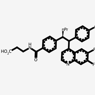 CCC[C@H](c1ccc(C(=O)NCCC(=O)O)cc1)C(c1ccc(Cl)cc1)c1ccnc2cc(F)c(F)cc12